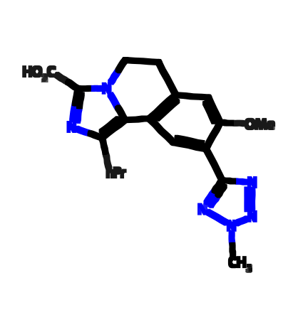 CCCc1nc(C(=O)O)n2c1-c1cc(-c3nnn(C)n3)c(OC)cc1CC2